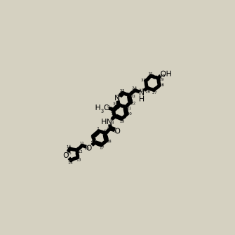 Cc1c(NC(=O)c2ccc(OCC3CCOC3)cc2)ccc2cc(CNC3CCC(O)CC3)cnc12